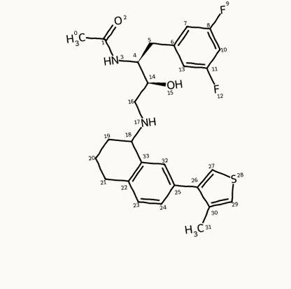 CC(=O)N[C@@H](Cc1cc(F)cc(F)c1)[C@@H](O)CNC1CCCc2ccc(-c3cscc3C)cc21